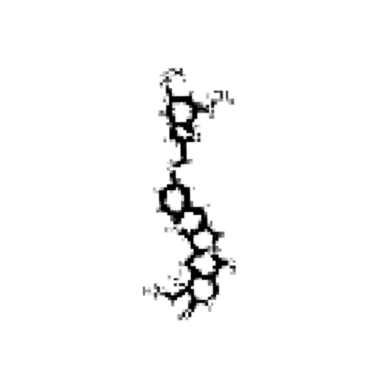 CC[C@@]1(C)C(=O)OCc2c1cc1n(c2=O)Cc2cc3cc(OCc4cc5cc(OC)cc(OC)c5o4)ccc3nc2-1